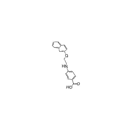 O=C(O)c1ccc(NCCOc2ccc3ccccc3c2)cc1